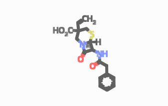 C=CC1(C(=O)O)CS[C@@H]2C(NC(=O)Cc3ccccc3)C(=O)N2C1